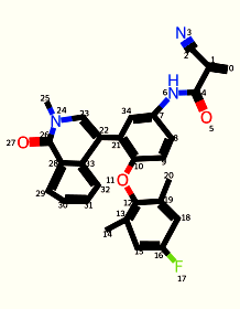 C=C(C#N)C(=O)Nc1ccc(Oc2c(C)cc(F)cc2C)c(-c2cn(C)c(=O)c3ccccc23)c1